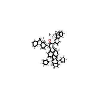 C=C1c2ccccc2-c2ccc(-c3c4c5ccc6c7c(-c8ccccc8)c8ccccc8c(-c8ccccc8)c7c7ccc(c-4c(-c4ccc8c(c4)C(C)(C)c4ccccc4-8)c3=O)c5c67)cc21